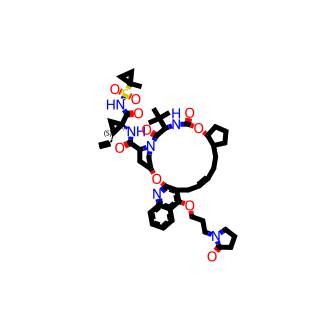 C=C[C@@H]1C[C@]1(NC(=O)C1CC2CN1C(=O)C(C(C)(C)C)NC(=O)OC1CCCC1CCC=CCc1c(nc3ccccc3c1OCCCN1CCCC1=O)O2)C(=O)NS(=O)(=O)C1(C)CC1